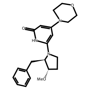 CO[C@H]1CCN(c2cc(N3CCOCC3)cc(=O)[nH]2)[C@@H]1Cc1ccccc1